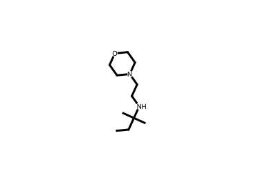 CCC(C)(C)NCCN1CCOCC1